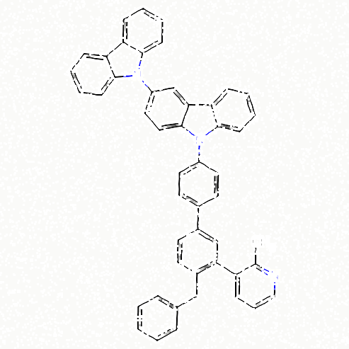 Cc1ncccc1-c1cc(-c2ccc(-n3c4ccccc4c4cc(-n5c6ccccc6c6ccccc65)ccc43)cc2)ccc1Cc1ccccc1